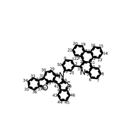 c1cc(-c2nc3ccccc3c3c4ccccc4c4ccccc4c23)cc(-n2c3ccc4c5ccccc5oc4c3c3c4ccccc4sc32)c1